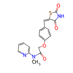 CN(C(=O)COc1ccc(C=C2SC(=O)NC2=O)cc1)c1ccccn1